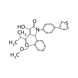 COCCc1ccccc1C1C(C(=O)C(C)C)=C(O)C(=O)N1c1ccc(-c2ccsc2)cc1